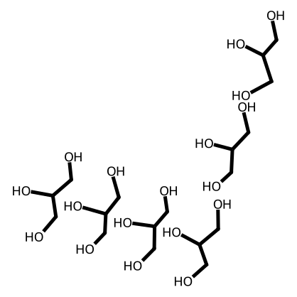 OCC(O)CO.OCC(O)CO.OCC(O)CO.OCC(O)CO.OCC(O)CO.OCC(O)CO